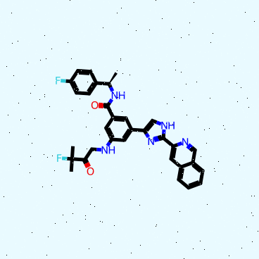 C[C@@H](NC(=O)c1cc(NCC(=O)C(C)(C)F)cc(-c2c[nH]c(-c3cc4ccccc4cn3)n2)c1)c1ccc(F)cc1